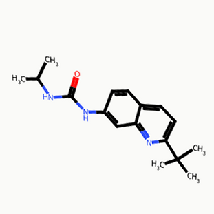 CC(C)NC(=O)Nc1ccc2ccc(C(C)(C)C)nc2c1